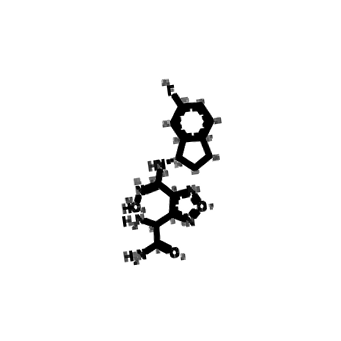 NC(=O)C(N)c1nonc1/C(=N\O)N[C@H]1CCc2ccc(F)cc21